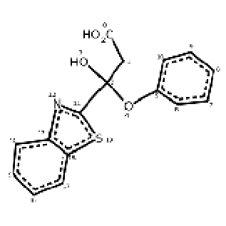 O=C(O)CC(O)(Oc1ccccc1)c1nc2ccccc2s1